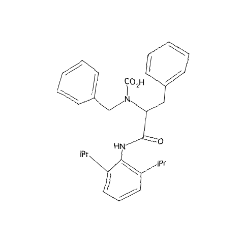 CC(C)c1cccc(C(C)C)c1NC(=O)C(Cc1ccccc1)N(Cc1ccccc1)C(=O)O